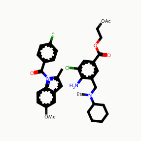 CCN(Cc1cc(C(=O)OCCOC(C)=O)cc(Cl)c1N)C1CCCCC1.COc1ccc2c(c1)cc(C)n2C(=O)c1ccc(Cl)cc1